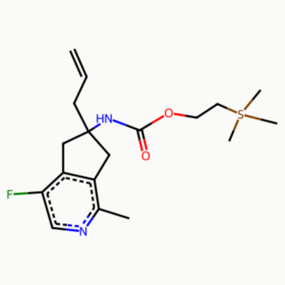 C=CCC1(NC(=O)OCCS(C)(C)C)Cc2c(F)cnc(C)c2C1